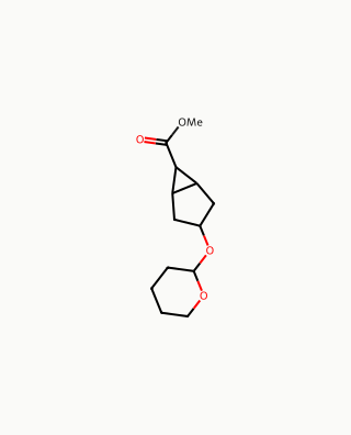 COC(=O)C1C2CC(OC3CCCCO3)CC21